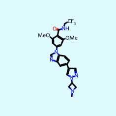 COc1cc(-n2cnc3cc(-c4cnn(C5CN(C)C5)c4)ccc32)cc(OC)c1C(=O)NCC(F)(F)F